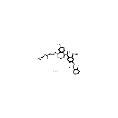 C#CCNCCOC1CCCN(C(=O)c2ccc(NC(=O)c3ccccc3Cl)cc2OC)c2ccc(Cl)cc21.Cl